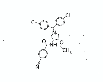 CCO[C@H]1CN(C(c2ccc(Cl)cc2)c2ccc(Cl)cc2)C[C@@H]1NC(=O)c1ccc(C#N)cc1